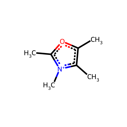 Cc1oc(C)[n+](C)c1C